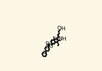 CCc1c2c(nc3ccc(OC(=O)N4CCC(N5CCCCC5)CC4)cc13)/C(=C/CCCO)NC2